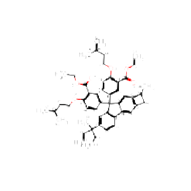 CCOC(=O)c1cc(C2(c3ccc(OCCC(C)C)c(C(=O)OCC)c3)c3cc(C(C)(CC)CC)ccc3-c3cc4c(cc32)C(C)C4)ccc1OCCC(C)C